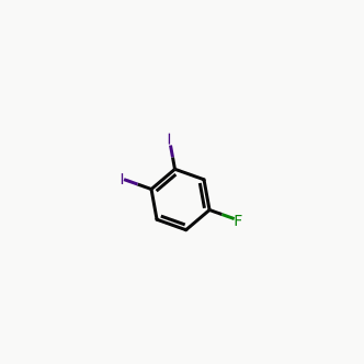 Fc1ccc(I)c(I)c1